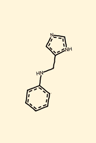 [c]1ccccc1NCc1cnc[nH]1